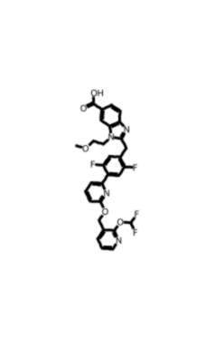 COCCn1c(Cc2cc(F)c(-c3cccc(OCc4cccnc4OC(F)F)n3)cc2F)nc2ccc(C(=O)O)cc21